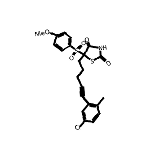 COc1ccc(S(=O)(=O)C2(CCCC#Cc3cc(Cl)ccc3C)SC(=O)NC2=O)cc1